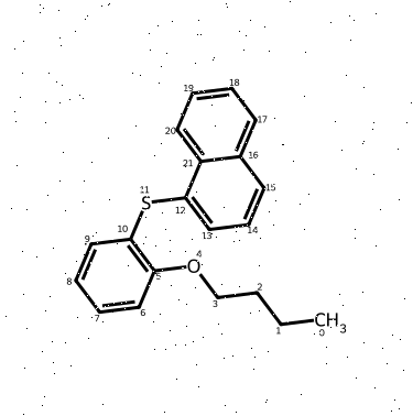 CCCCOc1ccc[c]c1Sc1cccc2ccccc12